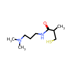 CC(CS)C(=O)NCCCN(C)C